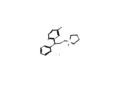 CCCCC[N+]1(CCC(c2ccccc2)c2cc(C)ccc2O)CCCC1.[Cl-]